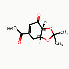 COC(=O)C1=CC(=O)[C@@H]2OC(C)(C)O[C@@H]2C1